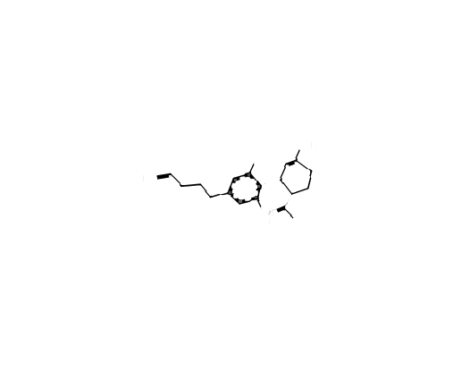 C=CCCCc1cc(O)c([C@@H]2C=C(C)CC[C@H]2C(=C)C)c(O)c1